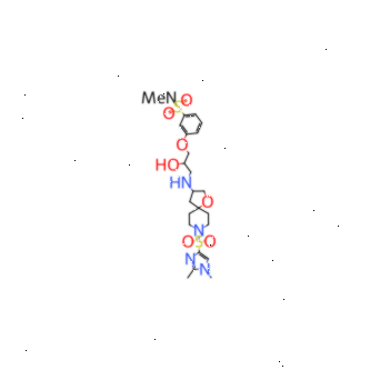 CNS(=O)(=O)c1cccc(OCC(O)CNC2COC3(CCN(S(=O)(=O)c4cn(C)c(C)n4)CC3)C2)c1